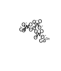 [Gd+3].[Gd+3].[O]=[W](=[O])([O-])[O-].[O]=[W](=[O])([O-])[O-].[O]=[W](=[O])([O-])[O-]